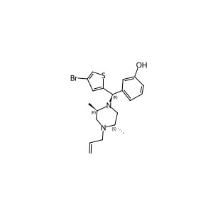 C=CCN1C[C@@H](C)N([C@H](c2cccc(O)c2)c2cc(Br)cs2)C[C@@H]1C